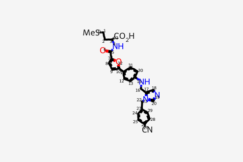 CSCCC(NC(=O)c1ccc(-c2ccc(NCc3cncn3Cc3ccc(C#N)cc3)cc2)o1)C(=O)O